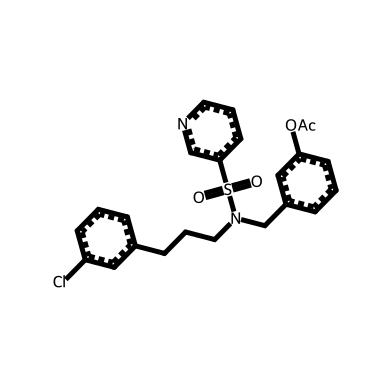 CC(=O)Oc1cccc(CN(CCCc2cccc(Cl)c2)S(=O)(=O)c2cccnc2)c1